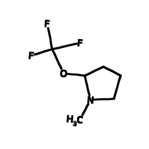 CN1CCCC1OC(F)(F)F